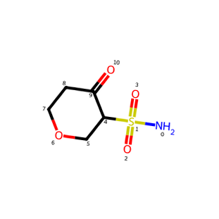 NS(=O)(=O)C1COCCC1=O